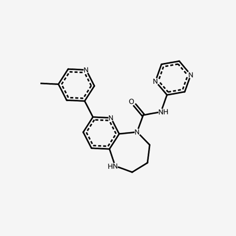 Cc1cncc(-c2ccc3c(n2)N(C(=O)Nc2cnccn2)CCCN3)c1